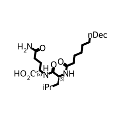 CCCCCCCCCCCCCCCC(=O)N[C@@H](CC(C)C)C(=O)N[C@@H](CCC(N)=O)C(=O)O